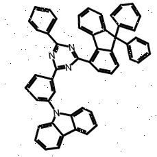 c1ccc(-c2nc(-c3cccc(-n4c5ccccc5c5ccccc54)c3)nc(-c3cccc4c3-c3ccccc3C4(c3ccccc3)c3ccccc3)n2)cc1